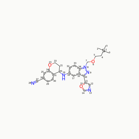 C[Si](C)(C)CCOCn1nc(-c2cnco2)c2cc(NC3CCOc4cc(C#N)ccc43)ccc21